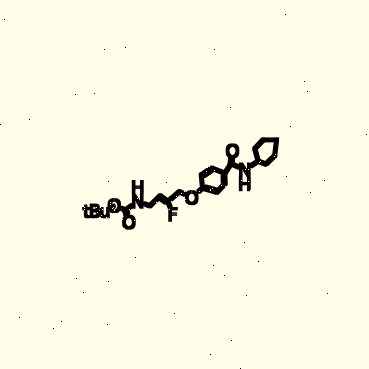 CC(C)(C)OC(=O)NC/C=C(\F)COc1ccc(C(=O)NC2CCCCC2)cc1